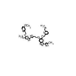 COCc1cccc(COc2nn3c(-c4cc(C)on4)nnc3cc2OCCc2cc(-c3nnc4cc(OC)c(OCc5cc(OC)ccn5)nn34)no2)n1